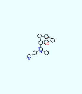 c1ccc(-c2cc(-c3ccc4c(c3)C3(c5ccccc5Oc5c3ccc3ccccc53)c3ccccc3-c3ccccc3-4)nc(-c3ccc(-c4cccnc4)cc3)n2)cc1